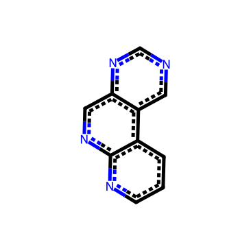 c1cnc2ncc3ncncc3c2c1